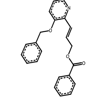 O=C(OCC=Cc1ncccc1OCc1ccccc1)c1ccccc1